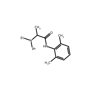 CCN(C(C)C)C(C)C(=O)Nc1c(C)cccc1C